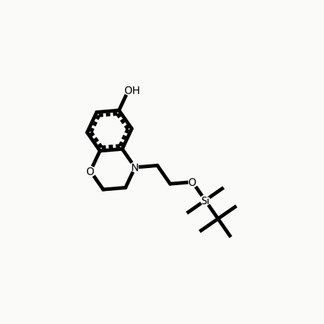 CC(C)(C)[Si](C)(C)OCCN1CCOc2ccc(O)cc21